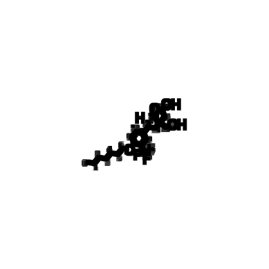 CCCCCCCOc1ccc(CCC(N)(CO)CC(=O)O)cc1C(F)(F)F